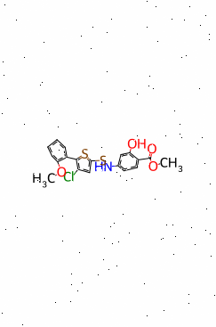 COC(=O)c1ccc(NSc2cc(Cl)c(-c3ccccc3OC)s2)cc1O